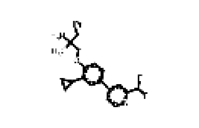 CC(C)CC(C)(N)COc1ccc(-c2ccnc(C(F)F)c2)cc1C1CC1